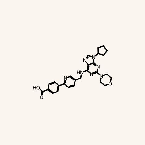 O=C(O)c1ccc(-c2ccc(CNc3nc(N4CCOCC4)nc4c3ncn4C3CCCC3)cn2)cc1